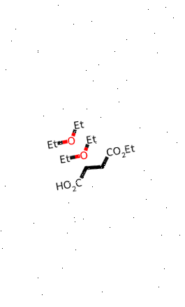 CCOC(=O)CCC(=O)O.CCOCC.CCOCC